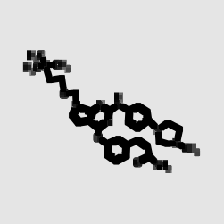 CN1CCN(c2ccc(Nc3nc(Oc4cccc(C=CC(N)=O)c4)c4ccn(COCC[Si](C)(C)C)c4n3)cc2)CC1